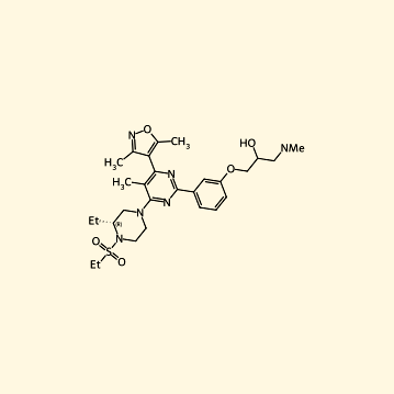 CC[C@@H]1CN(c2nc(-c3cccc(OCC(O)CNC)c3)nc(-c3c(C)noc3C)c2C)CCN1S(=O)(=O)CC